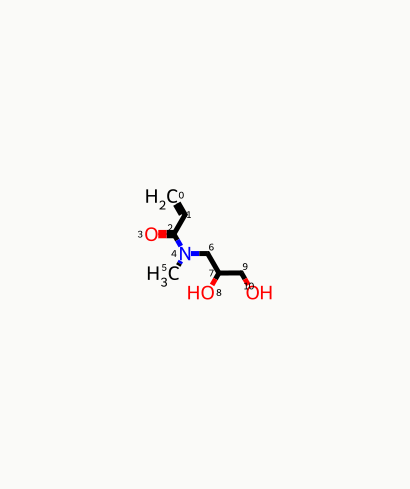 C=CC(=O)N(C)CC(O)CO